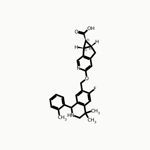 Cc1ccccc1C1NCC(C)(C)c2cc(F)c(COc3cc4c(cn3)[C@H]3[C@@H](C4)[C@@H]3C(=O)O)cc21